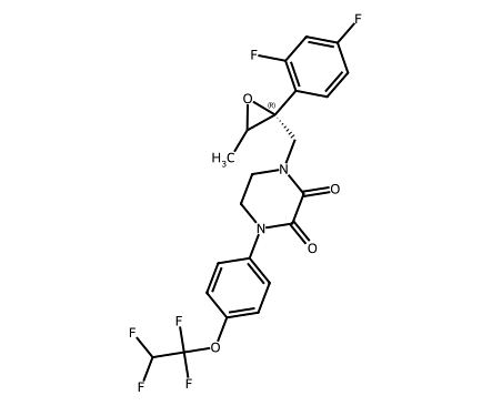 CC1O[C@@]1(CN1CCN(c2ccc(OC(F)(F)C(F)F)cc2)C(=O)C1=O)c1ccc(F)cc1F